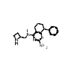 Nc1nc(NCC2CCN2)c2c(n1)C(c1ccccc1)CCC2